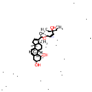 CCC(O)(/C=C\CO[C@@H](C)C1=CC[C@H]2C3=CC=C4C[C@@H](O)C[C@H](O)[C@]4(C)[C@H]3CC[C@]12C)CC